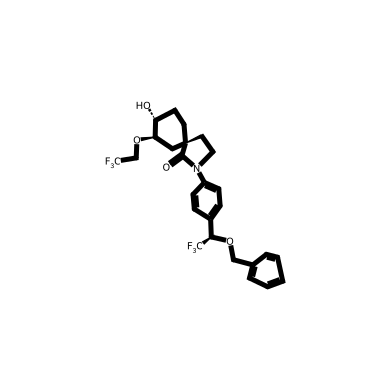 O=C1N(c2ccc([C@@H](OCc3ccccc3)C(F)(F)F)cc2)CC[C@@]12CC[C@@H](O)[C@H](OCC(F)(F)F)C2